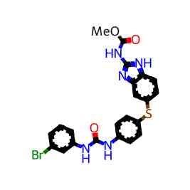 COC(=O)Nc1nc2cc(Sc3ccc(NC(=O)Nc4cccc(Br)c4)cc3)ccc2[nH]1